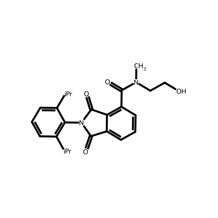 CC(C)c1cccc(C(C)C)c1N1C(=O)c2cccc(C(=O)N(C)CCO)c2C1=O